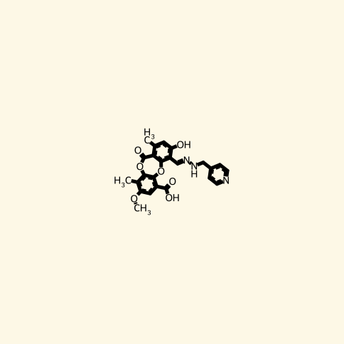 COc1cc(C(=O)O)c2c(c1C)OC(=O)c1c(C)cc(O)c(/C=N/NCc3ccncc3)c1O2